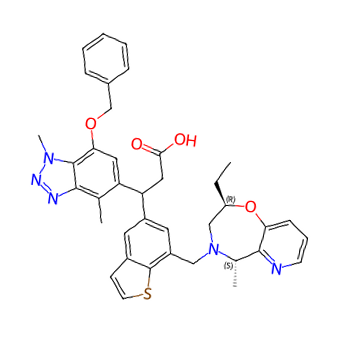 CC[C@@H]1CN(Cc2cc(C(CC(=O)O)c3cc(OCc4ccccc4)c4c(nnn4C)c3C)cc3ccsc23)[C@@H](C)c2ncccc2O1